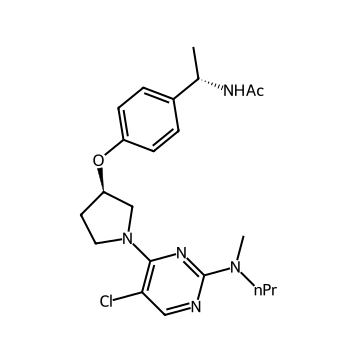 CCCN(C)c1ncc(Cl)c(N2CC[C@@H](Oc3ccc([C@H](C)NC(C)=O)cc3)C2)n1